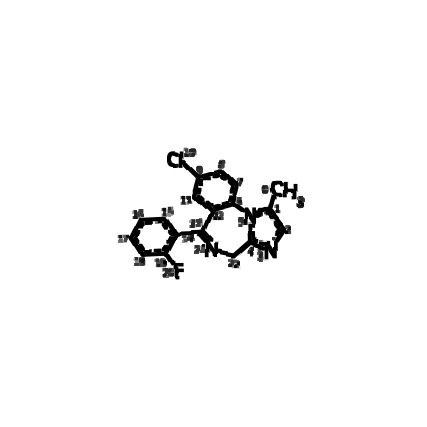 Cc1cnc2n1-c1ccc(Cl)cc1C(c1ccccc1F)=NC2